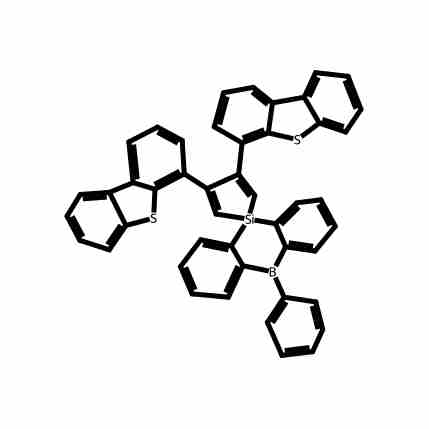 C1=C(c2cccc3c2sc2ccccc23)C(c2cccc3c2sc2ccccc23)=C[Si]12c1ccccc1B(c1ccccc1)c1ccccc12